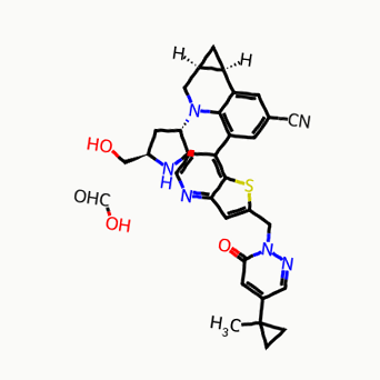 CC1(c2cnn(Cc3cc4nccc(-c5cc(C#N)cc6c5N([C@@H]5CN[C@@H](CO)C5)C[C@H]5C[C@@H]65)c4s3)c(=O)c2)CC1.O=CO